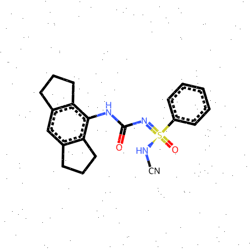 N#CN[S@@](=O)(=NC(=O)Nc1c2c(cc3c1CCC3)CCC2)c1ccccc1